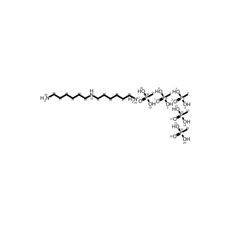 CP(=O)(O)O.CP(=O)(O)O.CP(=O)(O)O.CP(=O)(O)O.CP(=O)(O)O.NCCCCCCNCCCCCCN